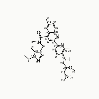 CCn1ncc(CN(C)C(=O)c2cc(-c3ccc(NCC(CN(C)C)OC)c(C)n3)nc3ccc(C)cc23)c1C